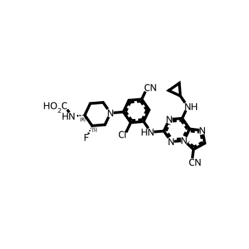 N#Cc1cc(Nc2nc(NC3CC3)c3ncc(C#N)n3n2)c(Cl)c(N2CC[C@@H](NC(=O)O)[C@@H](F)C2)c1